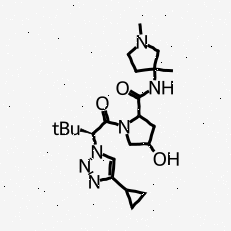 CN1CCC(C)(NC(=O)C2CC(O)CN2C(=O)[C@@H](n2cc(C3CC3)nn2)C(C)(C)C)C1